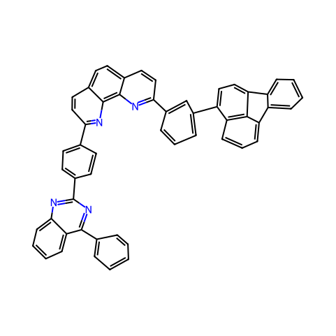 c1ccc(-c2nc(-c3ccc(-c4ccc5ccc6ccc(-c7cccc(-c8ccc9c%10c(cccc8%10)-c8ccccc8-9)c7)nc6c5n4)cc3)nc3ccccc23)cc1